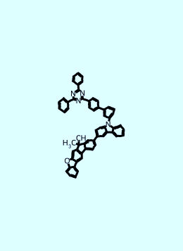 CC1(C)c2cc(-c3ccc4c(c3)c3ccccc3n4-c3cccc(-c4ccc(-c5nc(-c6ccccc6)nc(-c6ccccc6)n5)cc4)c3)ccc2-c2cc3c(cc21)oc1ccccc13